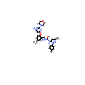 C=C(/N=C(\C=C/N)Oc1ccc(C(F)(F)F)cc1CNC(=O)Nc1cc(C(C)(C)C)nn1-c1ccc(C)cc1)N1CCOCC1